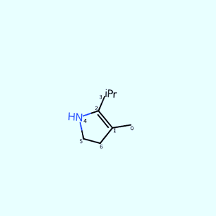 CC1=C(C(C)C)NCC1